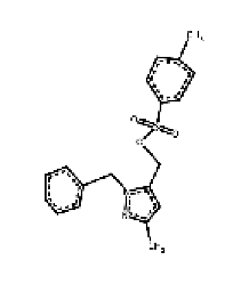 Cc1ccc(S(=O)(=O)OCc2cc(C)nn2Cc2ccccc2)cc1